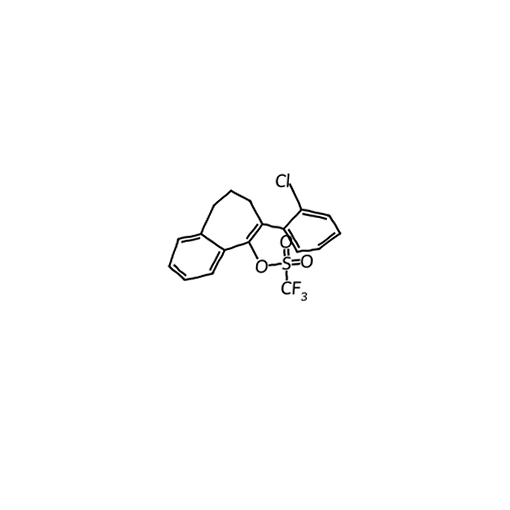 O=S(=O)(OC1=C(c2ccccc2Cl)CCCc2ccccc21)C(F)(F)F